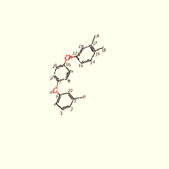 Cc1cccc(Oc2ccc(Oc3ccc(C)c(C)c3)cc2)c1